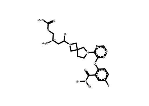 CCN(C(=O)c1cc(F)ccc1Oc1nncnc1N1CCC2(C1)CN(C(C[C@H](COC(=O)NC)OC)C(C)C)C2)C(C)C